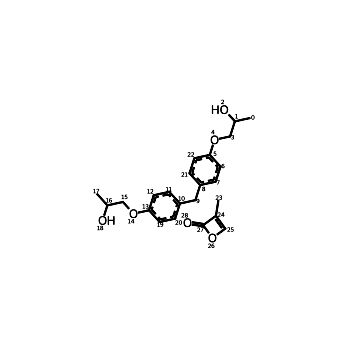 CC(O)COc1ccc(Cc2ccc(OCC(C)O)cc2)cc1.CC1=COC1=O